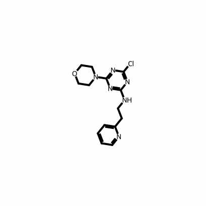 Clc1nc(NCCc2ccccn2)nc(N2CCOCC2)n1